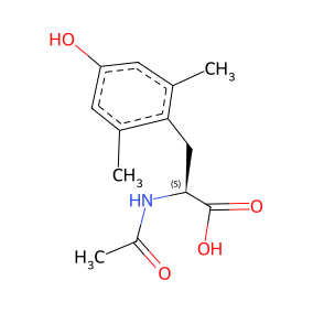 CC(=O)N[C@@H](Cc1c(C)cc(O)cc1C)C(=O)O